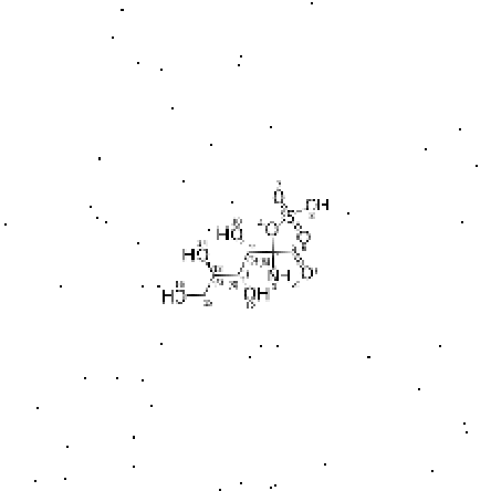 N[C@](C=O)(OS(=O)(=O)O)[C@@H](O)[C@H](O)[C@H](O)CO